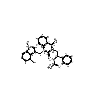 Cc1cccc2c1c(Cn1c(=O)n(CC(CC(=O)O)c3ccccc3)c(=O)c3ccccc31)cn2C